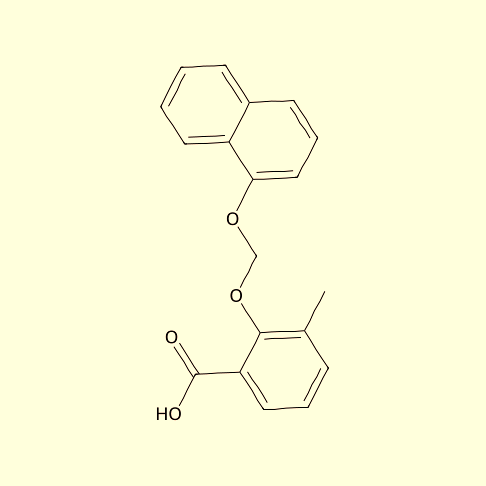 Cc1cccc(C(=O)O)c1OCOc1cccc2ccccc12